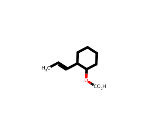 CC=CC1CCCCC1OC(=O)O